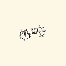 N=C(NC(=O)C12CC3CC(CC(C3)C1)C2)Nc1cccc2ccccc12